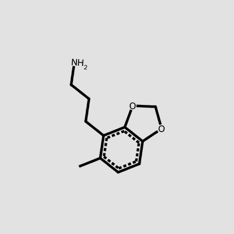 Cc1ccc2c(c1CCCN)OCO2